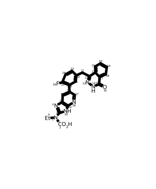 CCN(C(=O)O)c1nc2cc(-c3cc(Cc4n[nH]c(=O)c5ccccc45)ccc3F)cnc2[nH]1